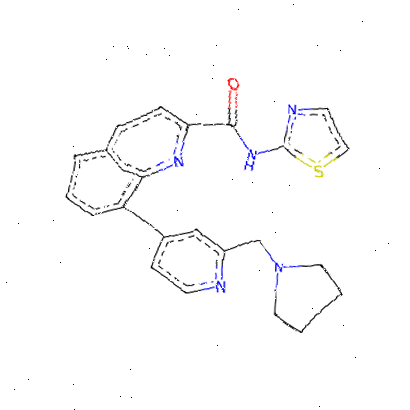 O=C(Nc1nccs1)c1ccc2cccc(-c3ccnc(CN4CCCC4)c3)c2n1